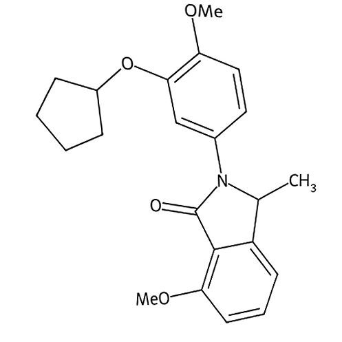 COc1ccc(N2C(=O)c3c(OC)cccc3C2C)cc1OC1CCCC1